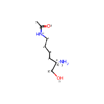 CC(=O)NCCCC[C@H](N)CO